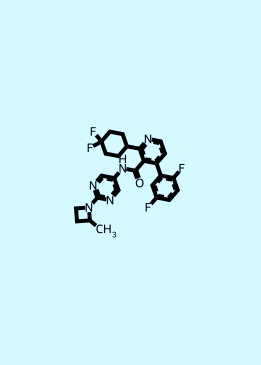 CC1CCN1c1ncc(NC(=O)c2c(-c3cc(F)ccc3F)ccnc2C2CCC(F)(F)CC2)cn1